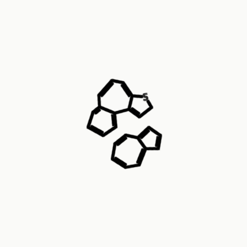 C1=Cc2ccccc2C2=CCSC2=C1.c1ccc2cccc-2cc1